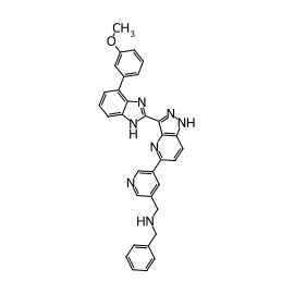 COc1cccc(-c2cccc3[nH]c(-c4n[nH]c5ccc(-c6cncc(CNCc7ccccc7)c6)nc45)nc23)c1